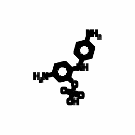 Nc1ccc(Nc2ccc(N)cc2OS(=O)(=O)O)cc1